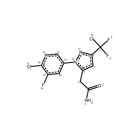 NC(=O)Cc1cc(C(F)(F)Cl)nn1-c1cnc(Cl)c(F)c1